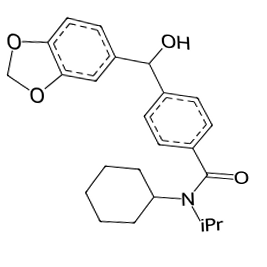 CC(C)N(C(=O)c1ccc(C(O)c2ccc3c(c2)OCO3)cc1)C1CCCCC1